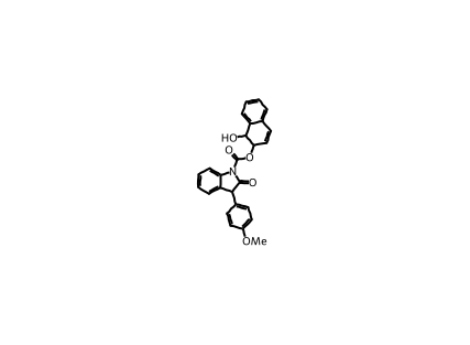 COc1ccc(C2C(=O)N(C(=O)OC3C=Cc4ccccc4C3O)c3ccccc32)cc1